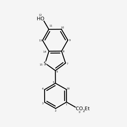 CCOC(=O)c1cccc(-c2cc3ccc(O)cc3s2)c1